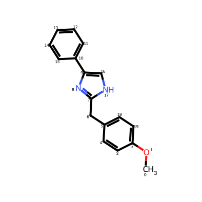 COc1ccc(Cc2nc(-c3ccccc3)c[nH]2)cc1